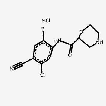 Cl.N#Cc1cc(F)c(NC(=O)C2CNCCO2)cc1Cl